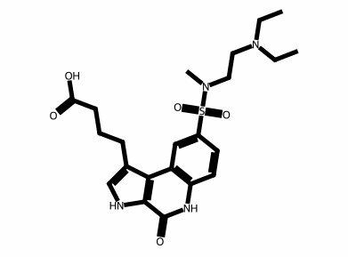 CCN(CC)CCN(C)S(=O)(=O)c1ccc2[nH]c(=O)c3[nH]cc(CCCC(=O)O)c3c2c1